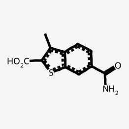 Cc1c(C(=O)O)sc2cc(C(N)=O)ccc12